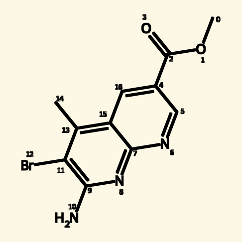 COC(=O)c1cnc2nc(N)c(Br)c(C)c2c1